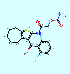 NC(=O)OCC(=O)Nc1sc2c(c1C(=O)c1c(F)cccc1F)CCCCC2